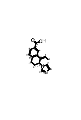 CC=C1c2cc(C(=O)O)ccc2CCC1n1ccnc1